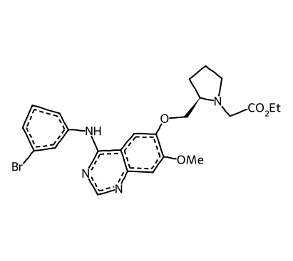 CCOC(=O)CN1CCC[C@@H]1COc1cc2c(Nc3cccc(Br)c3)ncnc2cc1OC